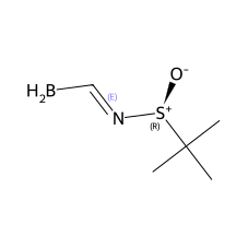 B/C=N/[S@@+]([O-])C(C)(C)C